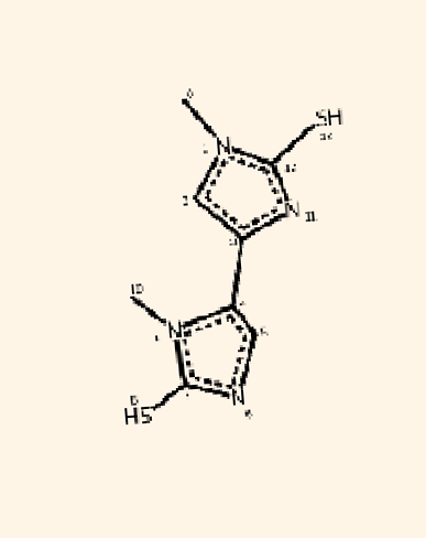 Cn1cc(-c2cnc(S)n2C)nc1S